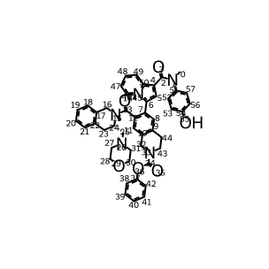 CN(C(=O)c1cc(-c2cc3c(cc2C(=O)N2Cc4ccccc4C[C@H]2CN2CCOCC2)CN(C(=O)Oc2ccccc2)CC3)n2ccccc12)c1ccc(O)cc1